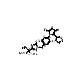 CCCCc1nc(C(CCC)(OC)OC)nn1Cc1ccc(-n2c(F)cc(F)c2-c2nnn[nH]2)cc1